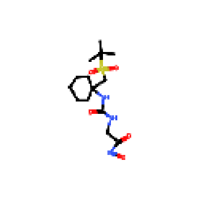 CC(C)(C)S(=O)(=O)CC1(NC(=O)NCC(=O)N=O)CCCCC1